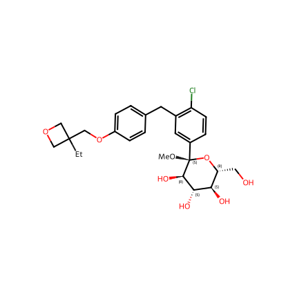 CCC1(COc2ccc(Cc3cc([C@]4(OC)O[C@H](CO)[C@@H](O)[C@H](O)[C@H]4O)ccc3Cl)cc2)COC1